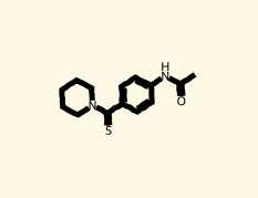 CC(=O)Nc1ccc(C(=S)N2CCCCC2)cc1